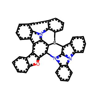 c1ccc2c(c1)oc1c3c4c5c(c6cccc7c8cccc(c8n5c76)B4c4c5ccccc5n5c6ccccc6n-3c45)c12